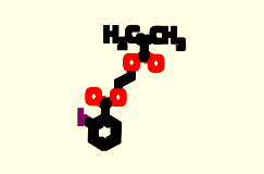 C=C(C)C(=O)OCCOC(=O)c1ccccc1I